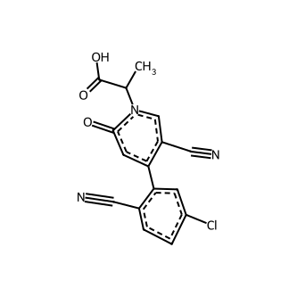 CC(C(=O)O)n1cc(C#N)c(-c2cc(Cl)ccc2C#N)cc1=O